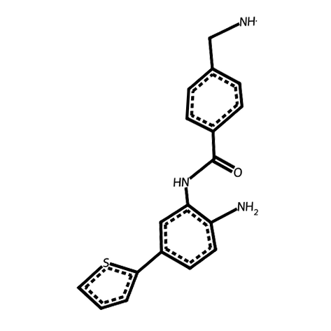 [NH]Cc1ccc(C(=O)Nc2cc(-c3cccs3)ccc2N)cc1